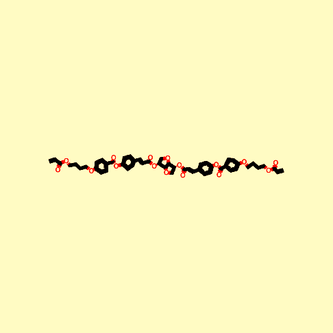 C=CC(=O)OCCCCOc1ccc(C(=O)Oc2ccc(/C=C/C(=O)O[C@H]3COC4C3OC[C@H]4OC(=O)/C=C/c3ccc(OC(=O)c4ccc(OCCCCOC(=O)C=C)cc4)cc3)cc2)cc1